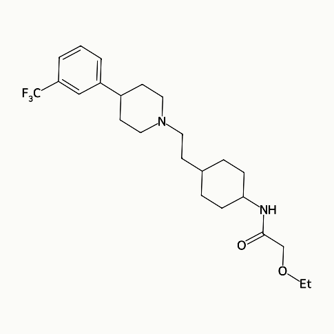 CCOCC(=O)NC1CCC(CCN2CCC(c3cccc(C(F)(F)F)c3)CC2)CC1